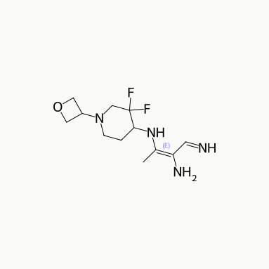 C/C(NC1CCN(C2COC2)CC1(F)F)=C(\N)C=N